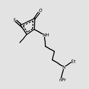 CCCN(CC)CCCNc1c(C)c(=S)c1=O